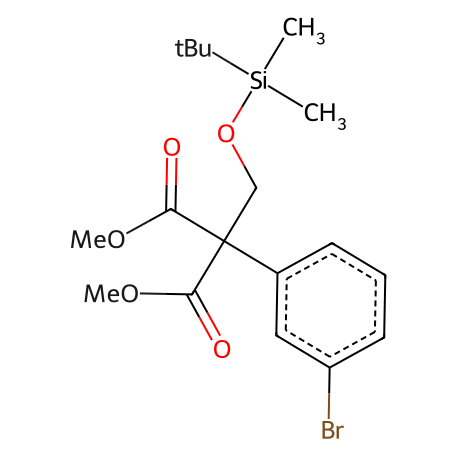 COC(=O)C(CO[Si](C)(C)C(C)(C)C)(C(=O)OC)c1cccc(Br)c1